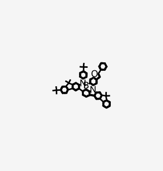 CC(C)(C)c1ccc(N2B3c4cc5oc(-c6ccccc6)cc5cc4-n4c5cc6c(cc5c5ccc(c3c54)-c3cc4c(cc32)C(C)(C)c2cc(C(C)(C)C)ccc2-4)-c2ccccc2C6(C)C)cc1